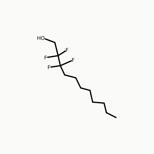 CCCCCCCCC(F)(F)C(F)(F)CO